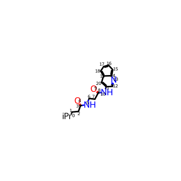 CC(C)CCC(=O)NCCC(=O)Nc1cnc2ccccc2c1